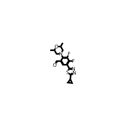 CC1CN(c2c(C=O)cc(-c3nnc(C4CC4)s3)c(F)c2F)CC(C)O1